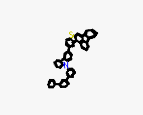 c1ccc(-c2cccc(-c3cccc(-n4c5ccccc5c5cc(-c6ccc7sc8cc9c%10c(cccc%10c8c7c6)-c6ccccc6-9)ccc54)c3)c2)cc1